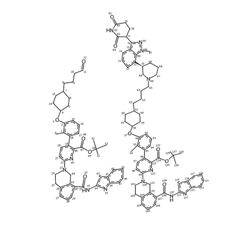 Cc1c(OC2CCC(CCCC=O)CC2)cccc1-c1ccc(N2CCc3cccc(C(=O)Nc4nc5ccccc5s4)c3C2)nc1C(=O)OC(C)(C)C.Cc1c(OC2CCC(CCCCN3CCC[C@H](c4cccc5c(C6CCC(=O)NC6=O)nn(C)c45)C3)CC2)cccc1-c1ccc(N2CCc3cccc(C(=O)Nc4nc5ccccc5s4)c3C2)nc1C(=O)OC(C)(C)C